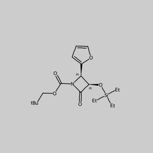 CC[Si](CC)(CC)O[C@H]1C(=O)N(C(=O)OCC(C)(C)C)[C@H]1c1ccco1